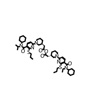 CCCSc1nc(N2CCC[C@@H](CC(=O)OC(=O)C[C@@H]3CCCN(c4ccc(C(=O)N(C(C)C)C5CCCCC5)c(SCCC)n4)C3)C2)ccc1C(=O)N(CC)C1CCCCC1